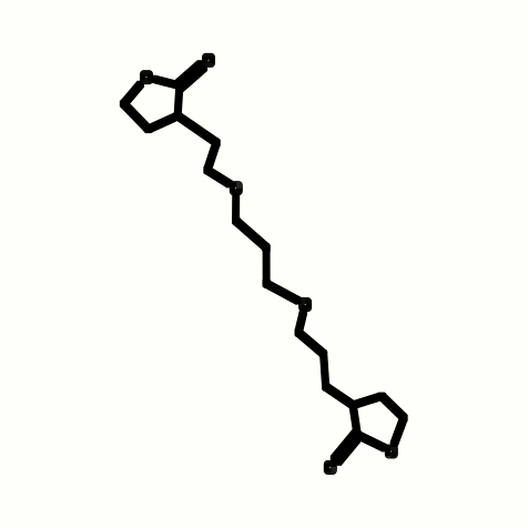 O=C1OCCC1CCCOCCCOCCC1CCOC1=O